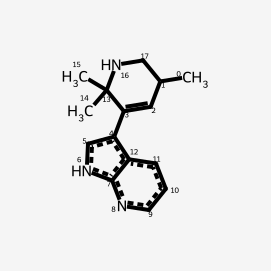 CC1C=C(c2c[nH]c3ncccc23)C(C)(C)NC1